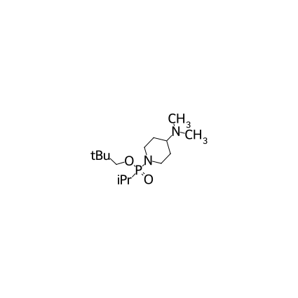 CC(C)P(=O)(OCC(C)(C)C)N1CCC(N(C)C)CC1